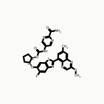 COc1cnc2c(-c3nc4cc(F)c(O[C@H]5CCC[C@H]5OC(=O)Nc5cnc(C(N)=O)nc5)cc4s3)cc(C)cc2n1